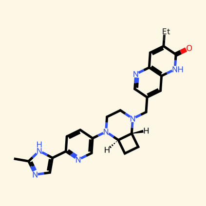 CCc1cc2ncc(CN3CCN(c4ccc(-c5cnc(C)[nH]5)nc4)[C@@H]4CC[C@H]43)cc2[nH]c1=O